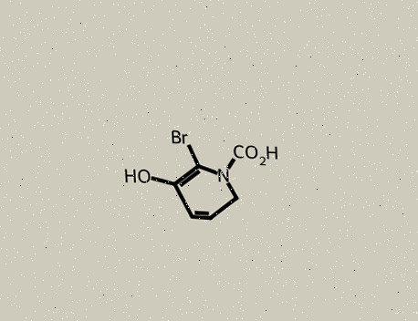 O=C(O)N1CC=CC(O)=C1Br